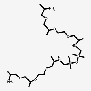 CC(N)COCC(C)OCCOCC(C)NC[Si](C)(C)O[Si](C)(C)CNC(C)COCCOC(C)COCC(C)N